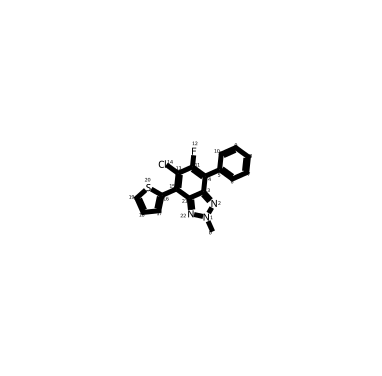 Cn1nc2c(-c3ccccc3)c(F)c(Cl)c(-c3cccs3)c2n1